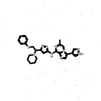 Cc1cn2c(-c3cn[nH]c3)cnc2c(Nc2cc(C(CSc3ccccc3)N3CCCCC3)ns2)n1